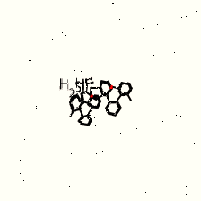 Cc1cccc(C)c1-c1ccccc1-c1cccc2c1C=C[CH]2[Hf]([CH3])([CH3])([CH3])([CH3])(=[SiH2])[CH]1C=Cc2c(-c3ccccc3-c3c(C)cccc3C)cccc21